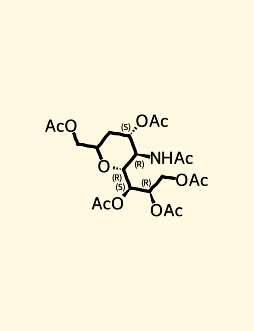 CC(=O)N[C@H]1[C@H]([C@H](OC(C)=O)[C@@H](COC(C)=O)OC(C)=O)OC(COC(C)=O)C[C@@H]1OC(C)=O